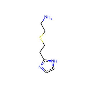 NCCSCCc1ncc[nH]1